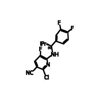 CC(C)[C@H](Nc1nc(Cl)c(C#N)cc1F)c1ccc(F)c(F)c1